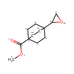 COC(=O)C12CCC(C3CO3)(CC1)CC2